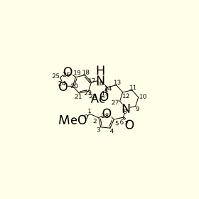 COCc1ccc(C(=O)N2CCCC(CC(=O)Nc3cc4c(cc3C(C)=O)OCO4)C2)o1